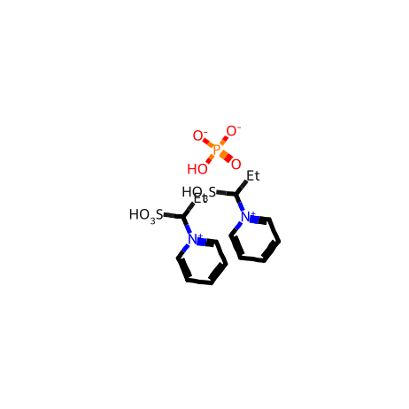 CCC([n+]1ccccc1)S(=O)(=O)O.CCC([n+]1ccccc1)S(=O)(=O)O.O=P([O-])([O-])O